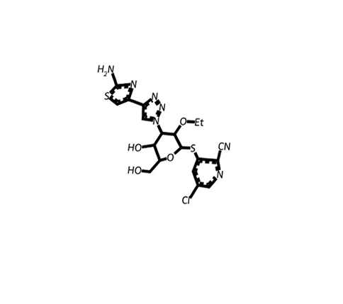 CCOC1C(Sc2cc(Cl)cnc2C#N)OC(CO)C(O)C1n1cc(-c2csc(N)n2)nn1